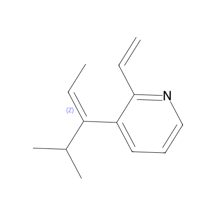 C=Cc1ncccc1/C(=C\C)C(C)C